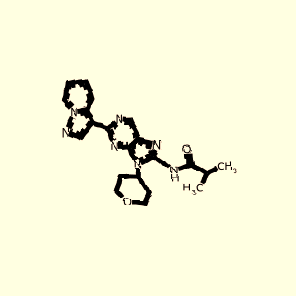 CC(C)C(=O)Nc1nc2cnc(-c3cnn4ccccc34)nc2n1C1CCOCC1